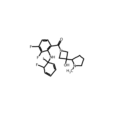 CN1CCCC1C1(O)CN(C(=O)c2ccc(F)c(F)c2NC2(I)C=CC=CC2F)C1